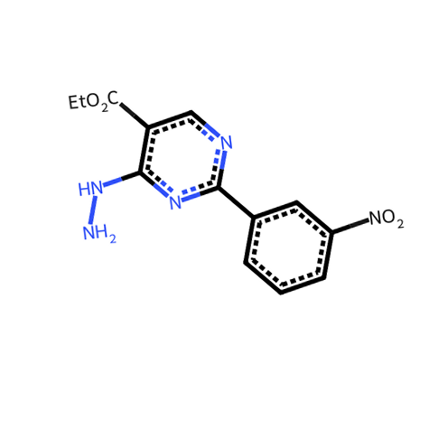 CCOC(=O)c1cnc(-c2cccc([N+](=O)[O-])c2)nc1NN